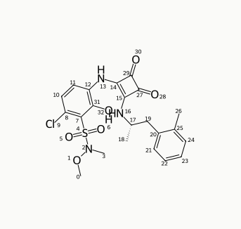 CON(C)S(=O)(=O)c1c(Cl)ccc(Nc2c(N[C@@H](C)Cc3ccccc3C)c(=O)c2=O)c1O